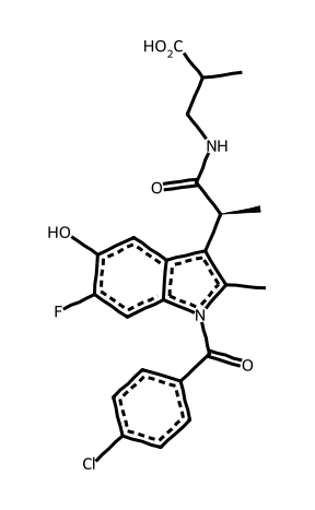 Cc1c([C@H](C)C(=O)NCC(C)C(=O)O)c2cc(O)c(F)cc2n1C(=O)c1ccc(Cl)cc1